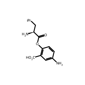 CC(C)C[C@H](N)C(=O)Oc1ccc(N)cc1C(=O)O